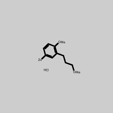 COCCCc1c[c]([Zn])ccc1OC.Cl